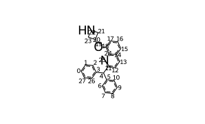 c1ccc(C(c2ccccc2)c2ccc3cccc(OC4CNC4)c3n2)cc1